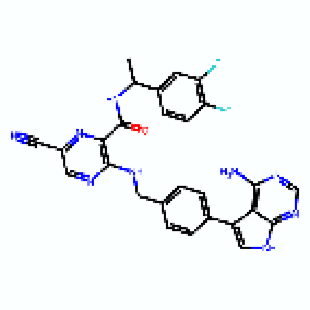 CC(NC(=O)c1nc(C#N)cnc1NCc1ccc(-c2c[nH]c3ncnc(N)c23)cc1)c1ccc(F)c(F)c1